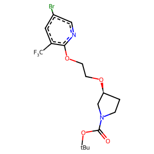 CC(C)(C)OC(=O)N1CC[C@H](OCCOc2ncc(Br)cc2C(F)(F)F)C1